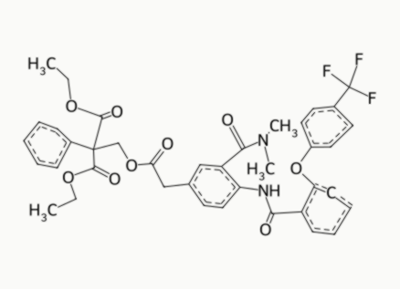 CCOC(=O)C(COC(=O)Cc1ccc(NC(=O)c2ccccc2Oc2ccc(C(F)(F)F)cc2)c(C(=O)N(C)C)c1)(C(=O)OCC)c1ccccc1